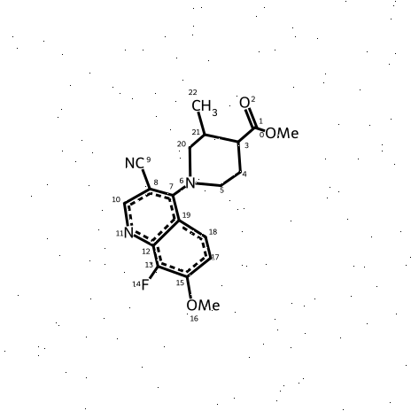 COC(=O)C1CCN(c2c(C#N)cnc3c(F)c(OC)ccc23)CC1C